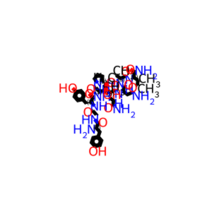 CCC(C)[C@H](NC(=O)[C@@H](NC(=O)C(CC(N)=O)NC(=O)[C@H](CCC(N)=O)NC(=O)[C@@H]1CCCN1C(=O)[C@@H](NC(=O)[C@H](Cc1ccc(O)cc1)NC(=O)CNC(=O)[C@@H](N)Cc1ccc(O)cc1)C(C)O)C(C)C)C(N)=O